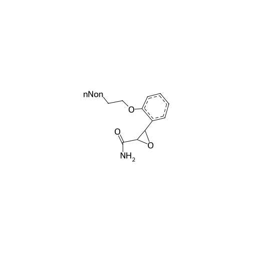 CCCCCCCCCCCOc1ccccc1C1OC1C(N)=O